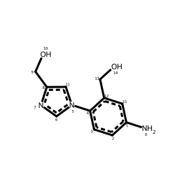 Nc1ccc(-n2cnc(CO)c2)c(CO)c1